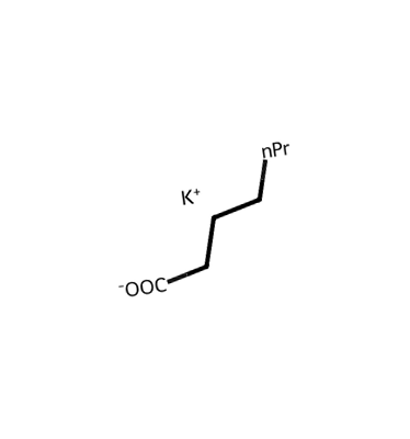 CCCCCCC(=O)[O-].[K+]